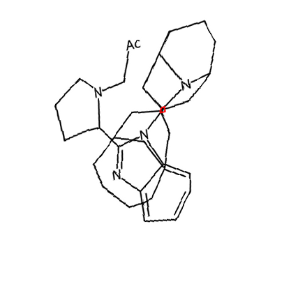 CC(=O)CN1CCCC1c1nc2ccccc2n1C1CC2CCCC(C1)N2C1CC2CCCCC(C2)C1